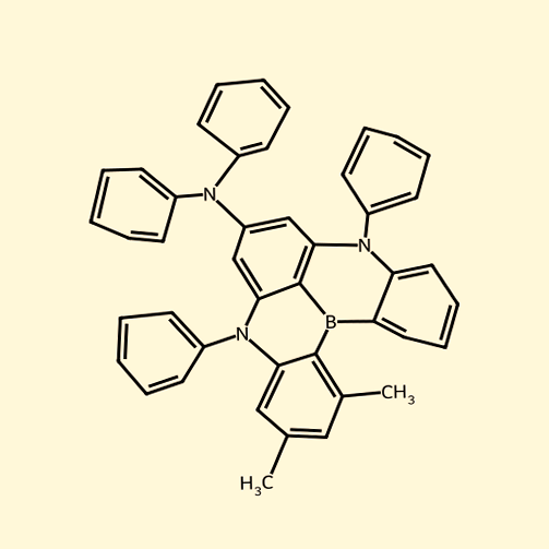 Cc1cc(C)c2c(c1)N(c1ccccc1)c1cc(N(c3ccccc3)c3ccccc3)cc3c1B2c1ccccc1N3c1ccccc1